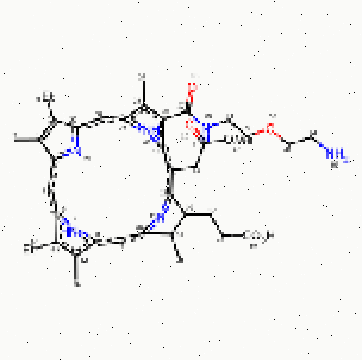 CCC1=C(C)c2cc3[nH]c(cc4nc(c(CC(=O)OC)c5[nH]c(cc1n2)c(C)c5C(=O)NCCOCCN)C(CCC(=O)O)C4C)c(C)c3CC